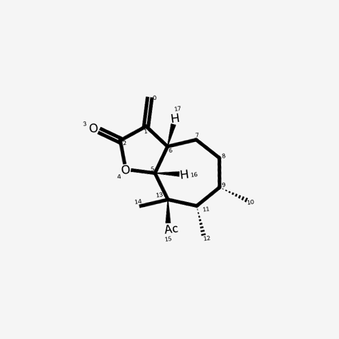 C=C1C(=O)O[C@@H]2[C@H]1CC[C@H](C)[C@H](C)[C@@]2(C)C(C)=O